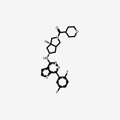 O=C(C1CCOCC1)N1CC2C[C@@H](Nc3nnc(-c4cc(F)ccc4F)c4sccc34)C[C@@H]2C1